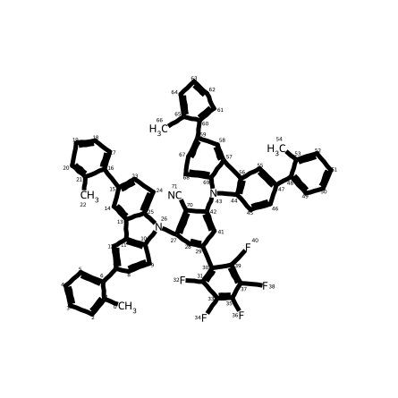 Cc1ccccc1-c1ccc2c(c1)c1cc(-c3ccccc3C)ccc1n2-c1cc(-c2c(F)c(F)c(F)c(F)c2F)cc(-n2c3ccc(-c4ccccc4C)cc3c3cc(-c4ccccc4C)ccc32)c1C#N